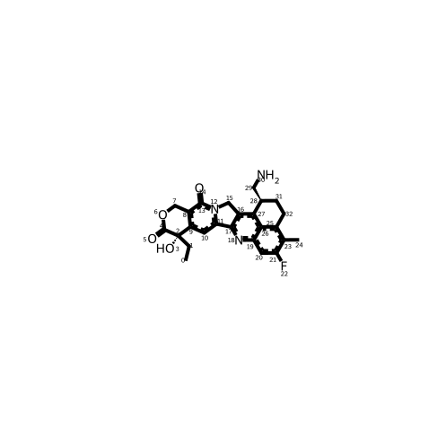 CC[C@@]1(O)C(=O)OCc2c1cc1n(c2=O)Cc2c-1nc1cc(F)c(C)c3c1c2[C@@H](CN)CC3